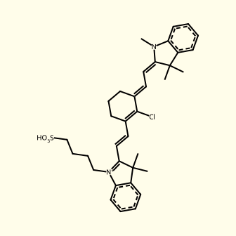 CN1/C(=C/C=C2\CCCC(/C=C/C3=[N+](CCCCS(=O)(=O)O)c4ccccc4C3(C)C)=C2Cl)C(C)(C)c2ccccc21